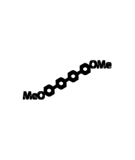 COc1ccc(-c2ccc(-c3ccc(-c4ccc(OC)cc4)cc3)cc2)cc1